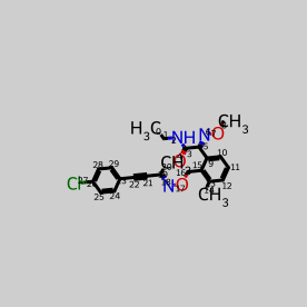 CCNC(=O)/C(=N/OC)c1cccc(C)c1CO/N=C(\C)C#Cc1ccc(Cl)cc1